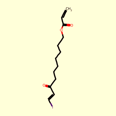 C=CC(=O)OCCCCCCCC(=O)/C=C/I